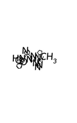 CC[C@@H]1c2nncn2-c2cnc(-c3ccncc3CNS(=O)(=O)c3ccccc3)nc2N1C1CCCC1